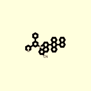 N#Cc1ccc2c3c1ccc1c(-c4c5ccccc5c(-c5cccc6ccccc56)c5ccccc45)ccc(c13)n2-c1cc(-c2ccccc2)cc(-c2cccnc2)c1